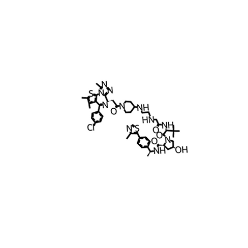 Cc1ncsc1-c1ccc([C@H](C)NC(=O)[C@@H]2C[C@@H](O)CN2C(=O)[C@@H](NC(=O)CNCCNC2CCN(C(=O)C[C@@H]3N=C(c4ccc(Cl)cc4)c4c(sc(C)c4C)-n4c(C)nnc43)CC2)C(C)(C)C)cc1